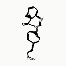 CCCCCCCCCCCCc1ccc(-n2cnc3ccccc3c2=O)cc1